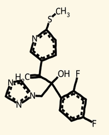 C=C(c1ccc(SC)nc1)C(O)(Cn1cncn1)c1ccc(F)cc1F